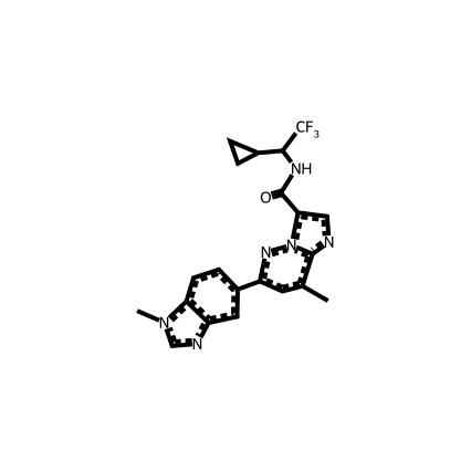 Cc1cc(-c2ccc3c(c2)ncn3C)nn2c(C(=O)NC(C3CC3)C(F)(F)F)cnc12